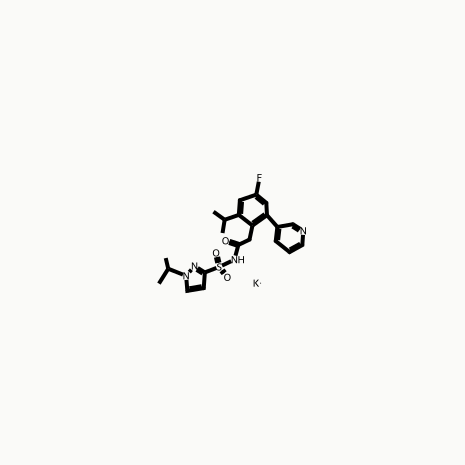 CC(C)c1cc(F)cc(-c2cccnc2)c1CC(=O)NS(=O)(=O)c1ccn(C(C)C)n1.[K]